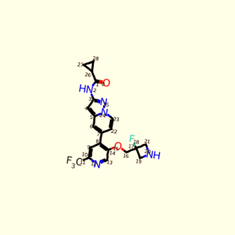 O=C(Nc1cc2cc(-c3cc(C(F)(F)F)ncc3OCC3(F)CNC3)ccn2n1)C1CC1